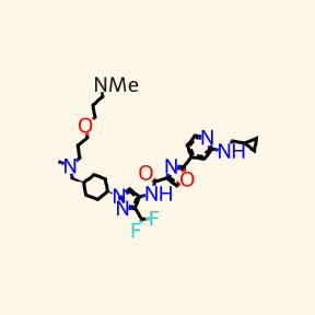 CNCCCOCCCN(C)C[C@H]1CC[C@H](n2cc(NC(=O)c3coc(-c4ccnc(NCC5CC5)c4)n3)c(C(F)F)n2)CC1